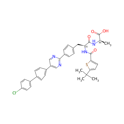 C[C@@H](NC(=O)[C@H](Cc1ccc(-c2ncc(-c3ccc(-c4ccc(Cl)cc4)cc3)cn2)cc1)NC(=O)c1ccc(C(C)(C)C)s1)C(=O)O